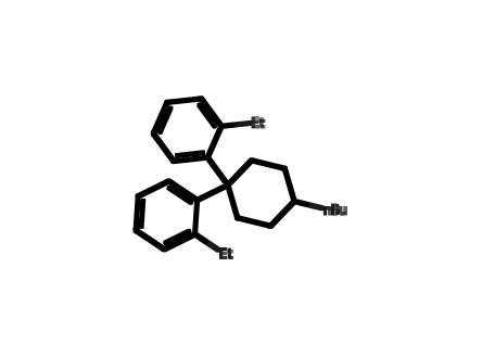 CCCCC1CCC(c2ccccc2CC)(c2ccccc2CC)CC1